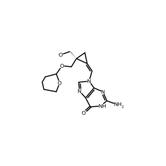 Nc1nc2c(ncn2/C=C2/C[C@]2(C[O])COC2CCCCO2)c(=O)[nH]1